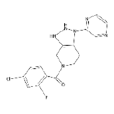 O=C(c1ccc(Cl)cc1F)N1CCC2=C(C1)NNN2c1cnccn1